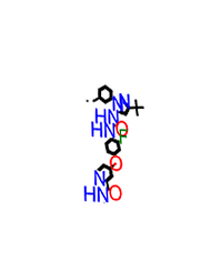 [CH2]c1cccc(-n2nc(C(C)(C)C)cc2NC(=O)Nc2ccc(Oc3ccnc(C(=O)NC)c3)cc2F)c1